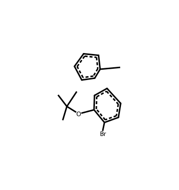 CC(C)(C)Oc1ccccc1Br.Cc1ccccc1